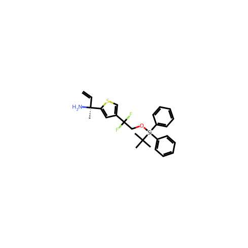 C=C[C@](C)(N)c1cc(C(F)(F)CO[Si](c2ccccc2)(c2ccccc2)C(C)(C)C)cs1